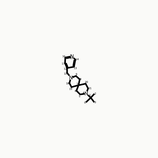 CC(C)(C)N1CCC2(CCN(Cc3ccncc3)CC2)CC1